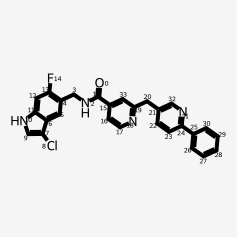 O=C(NCc1cc2c(Cl)c[nH]c2cc1F)c1ccnc(Cc2ccc(-c3ccccc3)nc2)c1